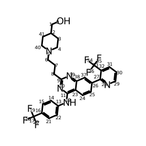 OCC1CCN(CCCc2nc(Nc3ccc(C(F)(F)F)cc3)c3ccc(-c4ncccc4C(F)(F)F)cc3n2)CC1